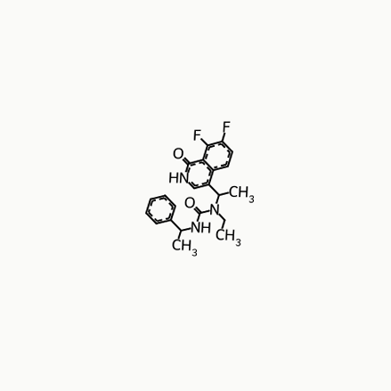 CCN(C(=O)NC(C)c1ccccc1)C(C)c1c[nH]c(=O)c2c(F)c(F)ccc12